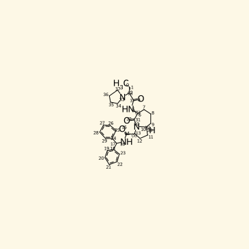 CC[C@@H](C(=O)N[C@H]1CCC[C@H]2CC[C@@H](C(=O)NC(c3ccccc3)c3ccccc3)N2C1=O)N1CCCC1